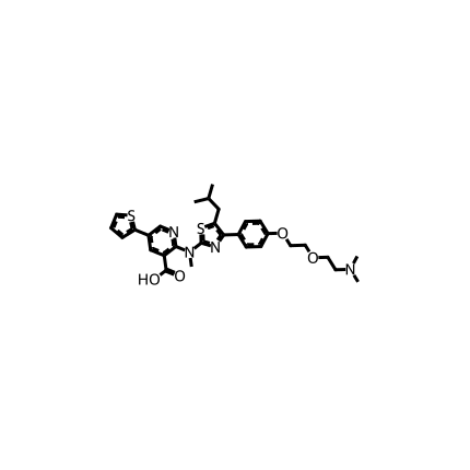 CC(C)Cc1sc(N(C)c2ncc(-c3cccs3)cc2C(=O)O)nc1-c1ccc(OCCOCCN(C)C)cc1